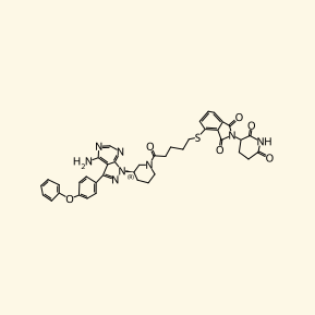 Nc1ncnc2c1c(-c1ccc(Oc3ccccc3)cc1)nn2[C@@H]1CCCN(C(=O)CCCCSc2cccc3c2C(=O)N(C2CCC(=O)NC2=O)C3=O)C1